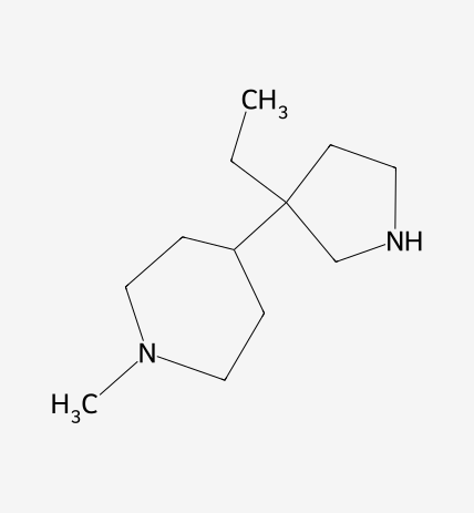 CCC1(C2CCN(C)CC2)CCNC1